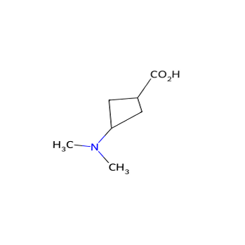 CN(C)C1CC(C(=O)O)C1